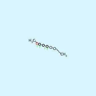 CCCCCCCC1CCC(C2CCC(c3ccc(-c4ccc(-c5ccc(OCCCC)c(F)c5F)cc4)c(F)c3F)CC2)CC1